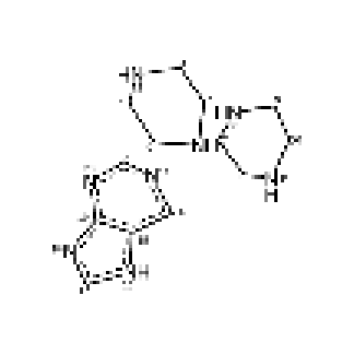 C1CNCCN1.C1CNCCN1.c1ncc2[nH]cnc2n1